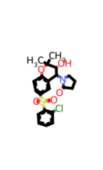 CC1(C)Oc2ccc(S(=O)(=O)c3ccccc3Cl)cc2C(N2CCCC2=O)C1O